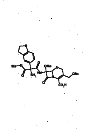 COC1(NC(=O)C(N)(C(=O)OC(C)(C)C)c2ccc3c(c2)CCO3)C(=O)N2C(C(=O)O)=C(COC(C)=O)CSC21